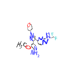 COc1cc(-c2nn(C3CCOCC3)cc2-c2ccnc(NCC(F)F)n2)cnc1N